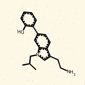 CC(C)Cn1cc(CCN)c2ccc(-c3ccccc3O)cc21